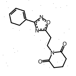 O=C1CCCC(=O)N1CCc1nc(C2=CC=CCC2)no1